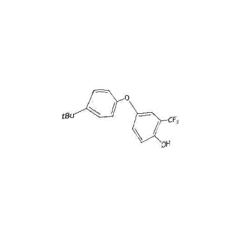 CC(C)(C)c1ccc(Oc2ccc(O)c(C(F)(F)F)c2)cc1